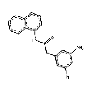 Nc1cc(Cl)cc(CC(=O)Nc2cncc3ccccc23)c1